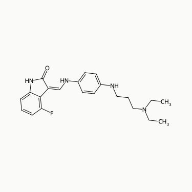 CCN(CC)CCCNc1ccc(NC=C2C(=O)Nc3cccc(F)c32)cc1